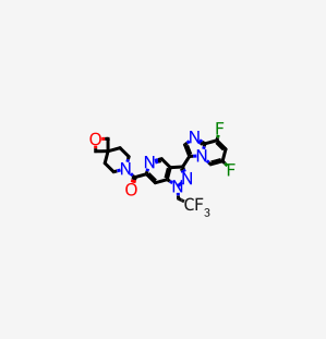 O=C(c1cc2c(cn1)c(-c1cnc3c(F)cc(F)cn13)nn2CC(F)(F)F)N1CCC2(CC1)COC2